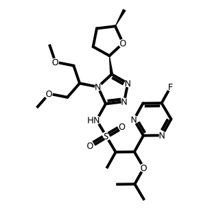 COCC(COC)n1c(NS(=O)(=O)C(C)C(OC(C)C)c2ncc(F)cn2)nnc1[C@H]1CC[C@@H](C)O1